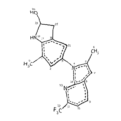 Cc1cc(-n2c(C)cc3ccc(C(F)(F)F)nc32)cc2c1NC(O)C2